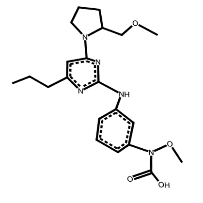 CCCc1cc(N2CCCC2COC)nc(Nc2cccc(N(OC)C(=O)O)c2)n1